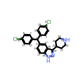 Clc1ccc(C(c2ccc(Cl)cc2)c2ccc3[nH]nc(C4CCNCC4)c3c2)cc1